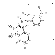 C=C1c2c(O)c(=O)nc(CC3(c4cccc(C(C)C)c4)CCCC3)n2CCN1C